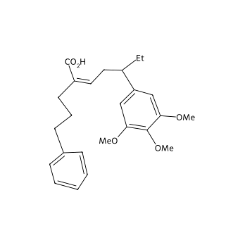 CCC(CC=C(CCCc1ccccc1)C(=O)O)c1cc(OC)c(OC)c(OC)c1